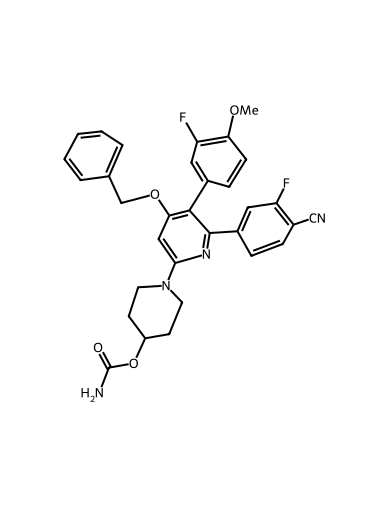 COc1ccc(-c2c(OCc3ccccc3)cc(N3CCC(OC(N)=O)CC3)nc2-c2ccc(C#N)c(F)c2)cc1F